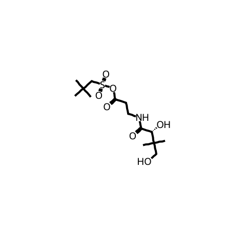 CC(C)(C)CS(=O)(=O)OC(=O)CCNC(=O)[C@H](O)C(C)(C)CO